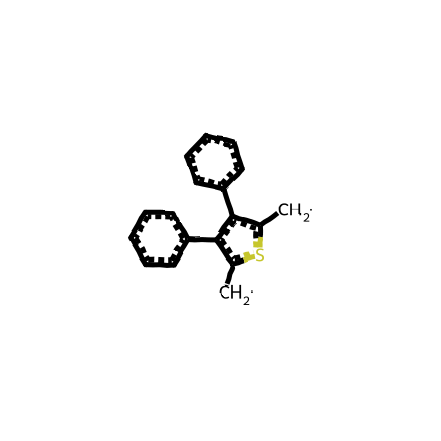 [CH2]c1sc([CH2])c(-c2ccccc2)c1-c1ccccc1